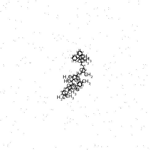 C=C1C[C@H](CCCO[Si](c2ccccc2)(c2ccccc2)C(C)(C)C)OC1CC[C@H](Cl)C[C@@H](C)C(=C)C(O)C[C@@H]1OC(C[C@H]2CCC(C)(C)O2)[C@H](C)[C@H]1CS(=O)(=O)c1ccc(C)cc1